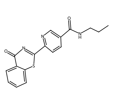 CCCNC(=O)c1ccc(-c2nc(=O)c3ccccc3s2)nc1